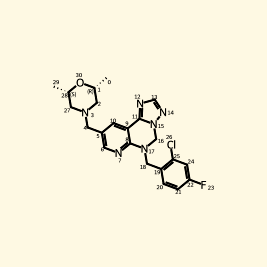 C[C@@H]1CN(Cc2cnc3c(c2)-c2ncnn2CN3Cc2ccc(F)cc2Cl)C[C@H](C)O1